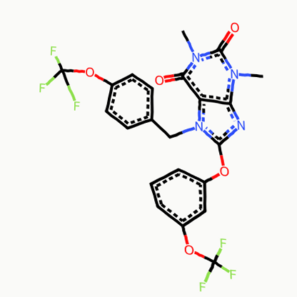 Cn1c(=O)c2c(nc(Oc3cccc(OC(F)(F)F)c3)n2Cc2ccc(OC(F)(F)F)cc2)n(C)c1=O